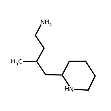 CC(CCN)CC1CCCCN1